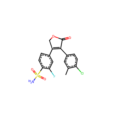 Cc1cc(C2=C(c3ccc(S(N)(=O)=O)c(F)c3)COC2=O)ccc1Cl